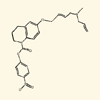 C=CCN(C)C/C=C/COc1ccc2c(c1)CCCN2C(=O)Oc1ccc([N+](=O)[O-])cc1